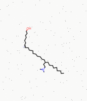 CCCCCCCCCC(CCCCCCCCC/C=C\CCCCCCO)CCN(C)C